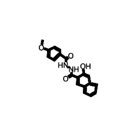 COc1ccc(C(=O)NNC(=O)c2cc3ccccc3cc2O)cc1